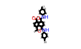 CCc1ccc(C=O)c2c(C(=O)NC3CCC(C)CC3)ccc(C(=O)NC3CCC(C)CC3)c12